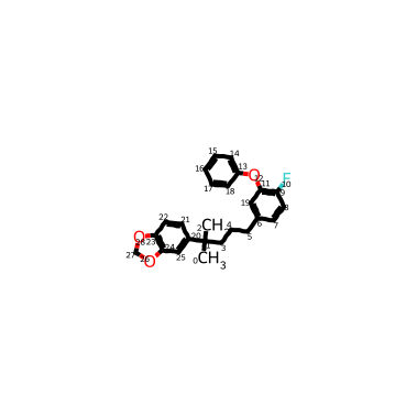 CC(C)(CCCc1ccc(F)c(Oc2ccccc2)c1)c1ccc2c(c1)OCO2